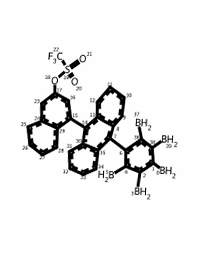 Bc1c(B)c(B)c(-c2c3ccccc3c(-c3cc(OS(=O)(=O)C(F)(F)F)cc4ccccc34)c3ccccc23)c(B)c1B